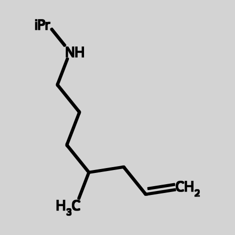 C=CCC(C)CCCNC(C)C